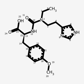 CCN(CCc1c[nH]cn1)C(=O)N[C@@H](Cc1ccc(OC)cc1)C(=O)O